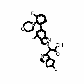 O=C(O)C(c1ncn2c1CC(F)C2)n1cc2c(F)cc(-c3cccc(F)c3N3CCOCC3)cc2n1